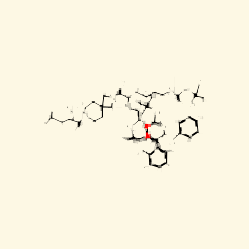 CC(C)C[C@@H](N)C(=O)N1CCC2(CC1)CN(C(=O)[C@@H](CCCCNC(=O)OC(C)(C)C)NC(=O)[C@@H](CC(C)C)NC(=O)[C@@H](Cc1ccccc1)NC(=O)[C@@H](Cc1ccccc1)NC(=O)OC(C)(C)C)C2